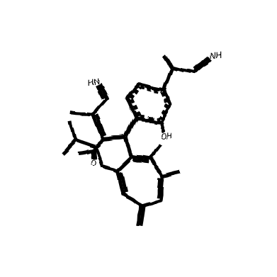 C=C1C=C(C)C(C)=C(C(/C(C(C)=O)=C(/C)C=N)c2ccc(C(C)C=N)cc2O)C(CCC(C)C)=C1